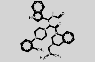 Cc1ccccc1N1CCN([C@@H](C(=O)N2C[C@H](CN(C)C)Cc3ccccc32)C(NC=O)c2c[nH]c3ccccc23)CC1